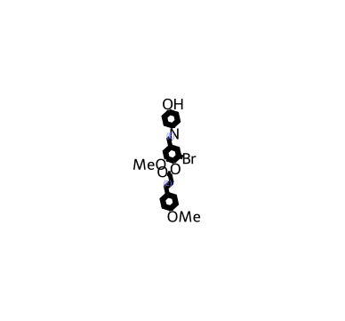 COc1ccc(/C=C/C(=O)Oc2c(Br)cc(/C=N/c3ccc(O)cc3)cc2OC)cc1